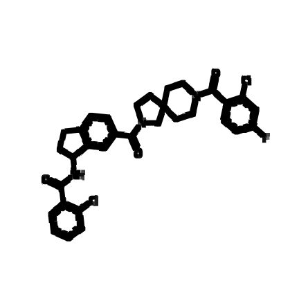 O=C(NC1CCc2ccc(C(=O)N3CCC4(CCN(C(=O)c5ccc(F)cc5Cl)CC4)C3)cc21)c1ccccc1Cl